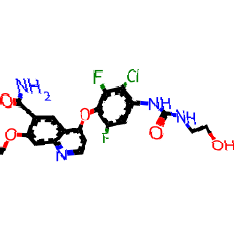 COc1cc2nccc(Oc3c(F)cc(NC(=O)NCCO)c(Cl)c3F)c2cc1C(N)=O